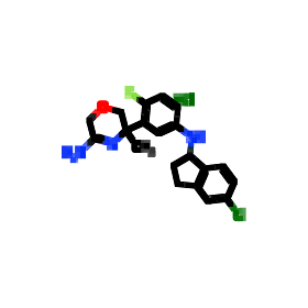 CC1(c2cc(NC3CCc4cc(Cl)ccc43)ccc2F)COCC(N)=N1.Cl